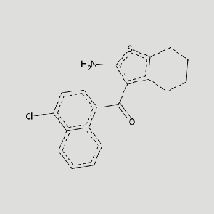 Nc1sc2c(c1C(=O)c1ccc(Cl)c3ccccc13)CCCC2